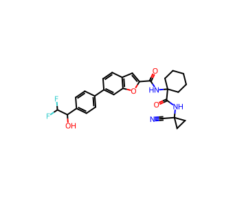 N#CC1(NC(=O)C2(NC(=O)c3cc4ccc(-c5ccc(C(O)C(F)F)cc5)cc4o3)CCCCC2)CC1